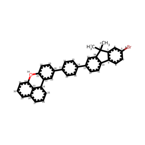 CC1(C)c2cc(Br)ccc2-c2ccc(-c3ccc(-c4ccc5c(c4)-c4cccc6cccc(c46)O5)cc3)cc21